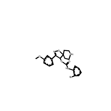 COc1cccc(C2=NOC3(CCNCC3)C2OC(=O)Nc2ccccc2Br)c1